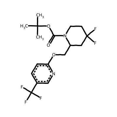 CC(C)(C)OC(=O)N1CCC(F)(F)CC1COc1ccc(C(F)(F)F)cn1